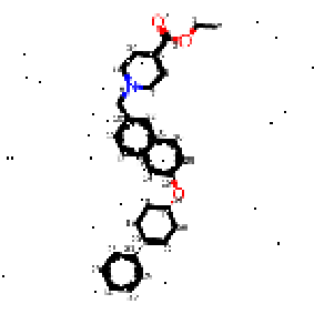 CCOC(=O)C1CCN(Cc2ccc3cc(O[C@H]4CC[C@@H](c5ccccc5)CC4)ccc3c2)CC1